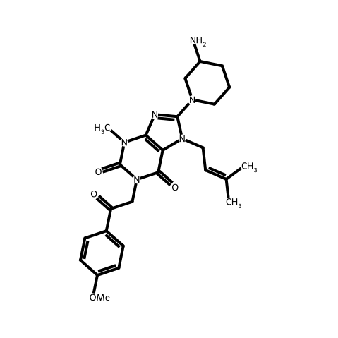 COc1ccc(C(=O)Cn2c(=O)c3c(nc(N4CCCC(N)C4)n3CC=C(C)C)n(C)c2=O)cc1